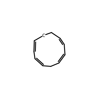 C1=CCC=CC=CCCC=C1